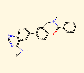 CCN(CC)c1ncnc2ccc(-c3cccc(CN(C)C(=O)c4ccccc4)c3)cc12